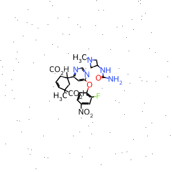 CC1(C(=O)O)C=CCC(C(=O)O)(c2cc(Oc3ccc([N+](=O)[O-])cc3F)ncn2)C1.CN1CC(NC(N)=O)C1